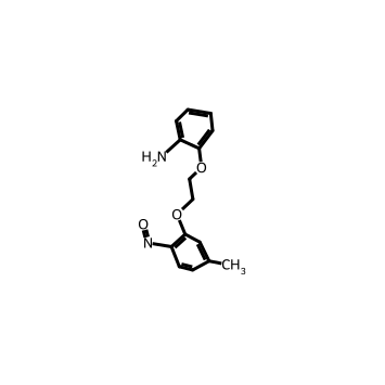 Cc1ccc(N=O)c(OCCOc2ccccc2N)c1